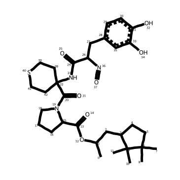 CC(CC1CCC(C)(C)C1(C)C)OC(=O)C1CCCN1C(=O)C1(NC(=O)C(Cc2ccc(O)c(O)c2)N=O)CCSCC1